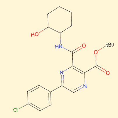 CC(C)(C)OC(=O)c1ncc(-c2ccc(Cl)cc2)nc1C(=O)NC1CCCCC1O